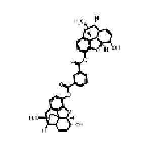 CN1CCC23c4c5ccc(OC(=O)c6cccc(C(=O)Oc7ccc8c9c7O[C@@H]7[C@H](O)C=CC%10[C@H](C8)N(C)CC[C@]9%107)c6)c4O[C@H]2[C@H](O)C=CC3[C@@H]1C5